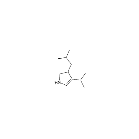 CC(C)CC1CNC=C1C(C)C